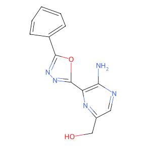 Nc1ncc(CO)nc1-c1nnc(-c2ccccc2)o1